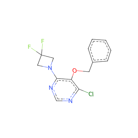 FC1(F)CN(c2ncnc(Cl)c2OCc2ccccc2)C1